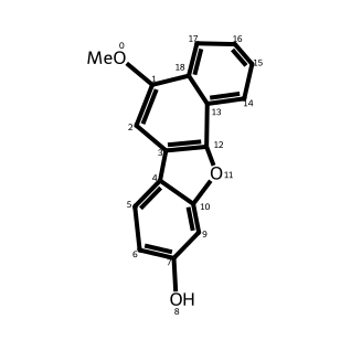 COc1cc2c3ccc(O)cc3oc2c2ccccc12